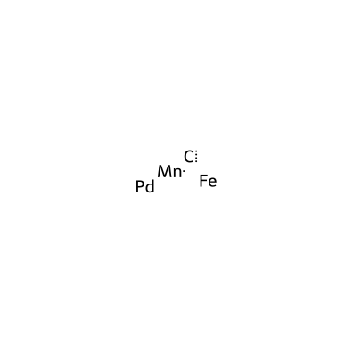 [C].[Fe].[Mn].[Pd]